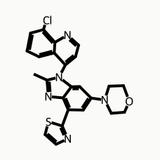 Cc1nc2c(-c3nccs3)cc(N3CCOCC3)cc2n1-c1ccnc2c(Cl)cccc12